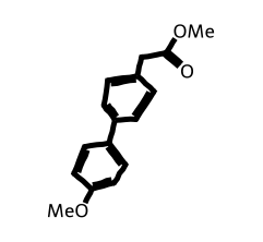 COC(=O)Cc1ccc(-c2ccc(OC)cc2)cc1